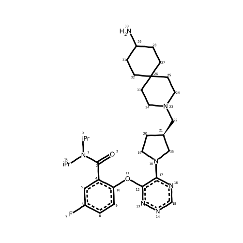 CC(C)N(C(=O)c1cc(F)ccc1Oc1nncnc1N1CC[C@@H](CN2CCC3(CCC(N)CC3)CC2)C1)C(C)C